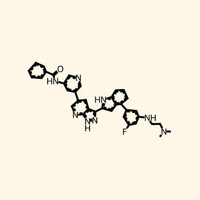 CN(C)CCNc1cc(F)cc(-c2cccc3[nH]c(-c4n[nH]c5ncc(-c6cncc(NC(=O)c7ccccc7)c6)cc45)cc23)c1